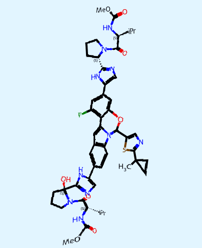 COC(=O)N[C@H](C(=O)N1CCC[C@H]1c1ncc(-c2cc(F)c3c(c2)OC(c2cnc(C4(C)CC4)s2)n2c-3cc3cc(-c4cnc([C@@]5(O)CCCN5C(=O)[C@@H](NC(=O)OC)C(C)C)[nH]4)ccc32)[nH]1)C(C)C